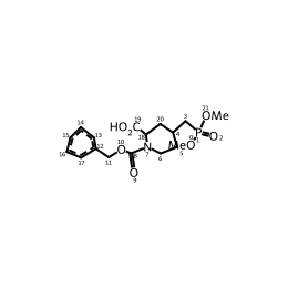 COP(=O)(CC1CCN(C(=O)OCc2ccccc2)C(C(=O)O)C1)OC